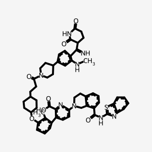 CNc1cc(C2CCN(C(=O)CCC3CCC(Oc4cccc(-c5ccc(N6CCc7cccc(C(=O)Nc8nc9ccccc9s8)c7C6)nc5C(=O)O)c4C)CC3)CC2)ccc1C(=N)C1CCC(=O)NC1=O